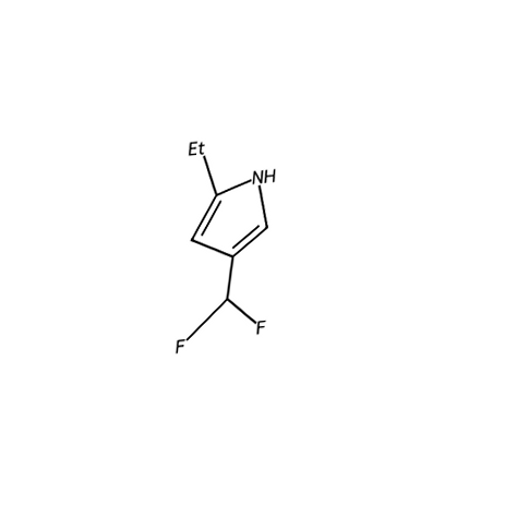 CCc1cc(C(F)F)c[nH]1